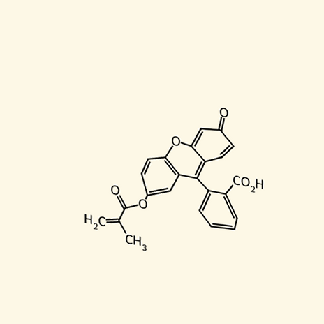 C=C(C)C(=O)Oc1ccc2oc3cc(=O)ccc-3c(-c3ccccc3C(=O)O)c2c1